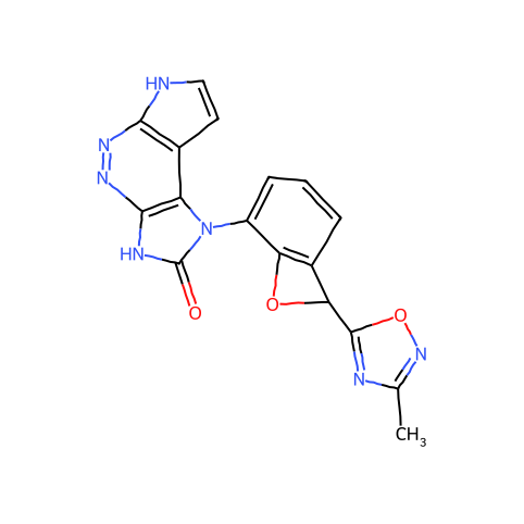 Cc1noc(C2Oc3c2cccc3-n2c(=O)[nH]c3nnc4[nH]ccc4c32)n1